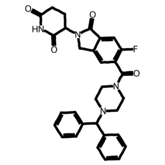 O=C1CCC(N2Cc3cc(C(=O)N4CCN(C(c5ccccc5)c5ccccc5)CC4)c(F)cc3C2=O)C(=O)N1